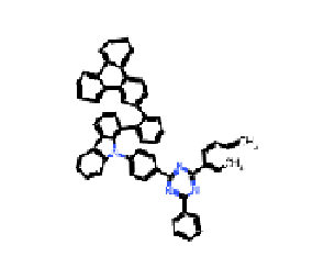 C=C/C=C\C(=C/C)c1nc(-c2ccccc2)nc(-c2ccc(-n3c4c(c5cccc(-c6ccccc6-c6ccc7c8ccccc8c8ccccc8c7c6)c53)CCC=C4)cc2)n1